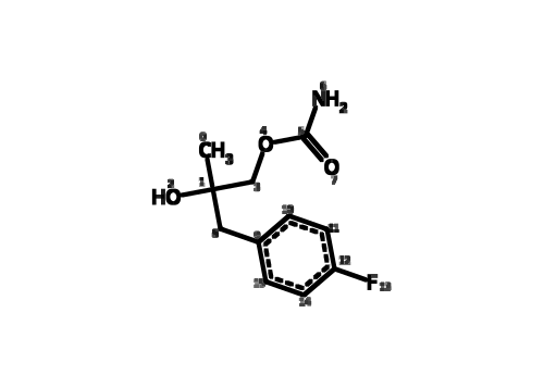 CC(O)(COC(N)=O)Cc1ccc(F)cc1